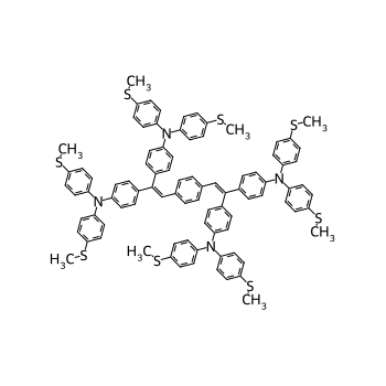 CSc1ccc(N(c2ccc(SC)cc2)c2ccc(C(=Cc3ccc(C=C(c4ccc(N(c5ccc(SC)cc5)c5ccc(SC)cc5)cc4)c4ccc(N(c5ccc(SC)cc5)c5ccc(SC)cc5)cc4)cc3)c3ccc(N(c4ccc(SC)cc4)c4ccc(SC)cc4)cc3)cc2)cc1